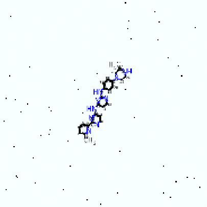 Cc1cccc(-c2nccc(Nc3ccnc(Nc4ccc(N5CCNC(C)C5)cc4)n3)n2)n1